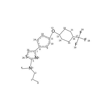 CCCN(C)c1nc(-c2ccc(OC3CCC(C(F)(F)F)CC3)cc2)cs1